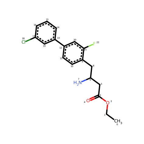 CCOC(=O)CC(N)Cc1ccc(-c2cccc(Cl)c2)cc1F